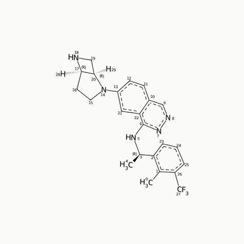 Cc1c([C@@H](C)Nc2nncc3ccc(N4CC[C@H]5NC[C@H]54)cc23)cccc1C(F)(F)F